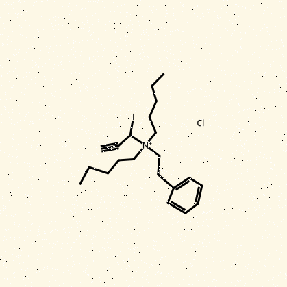 C#CC(I)[N+](CCCCC)(CCCCC)CCc1ccccc1.[Cl-]